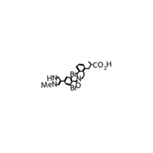 CN/C=C(\C=N)c1cc(Br)c(C(=O)N2CCc3c(C[C@H](C)C(=O)O)cccc3C2)c(Br)c1